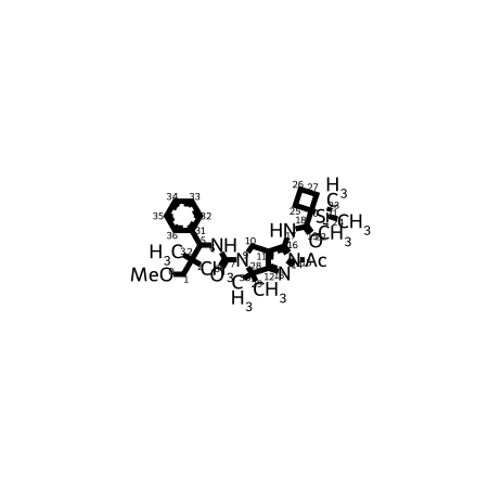 COCC(C)(C)C(NC(=O)N1Cc2c(nn(C(C)=O)c2NC(=O)C2([Si](C)(C)C)CCC2)C1(C)C)c1ccccc1